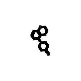 O=C1CCN(c2cccc3c2SCCO3)CC1